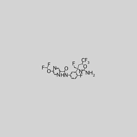 NC1=N[C@](CF)(c2cc(NC(=O)c3cnc(OC(F)F)cn3)ccc2F)C[C@@H](C(F)(F)F)O1